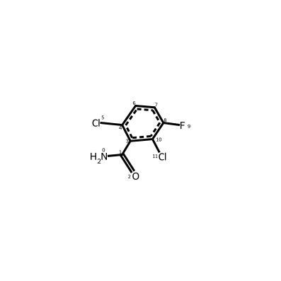 NC(=O)c1c(Cl)ccc(F)c1Cl